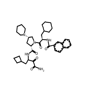 NC(=O)C(=O)C(CC1CCC1)NC(=O)[C@@H]1C[C@H](N2CCCCC2)CN1C(=O)[C@@H](CC1CCCCC1)NC(=O)c1ccc2ccccc2c1